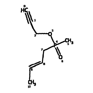 C#CCOP(C)(=O)CC=CC